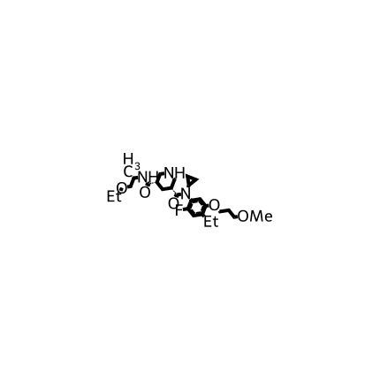 CCOC[C@@H](C)NC(=O)[C@@H]1CNC[C@H](C(=O)N(c2cc(OCCCOC)c(CC)cc2F)C2CC2)C1